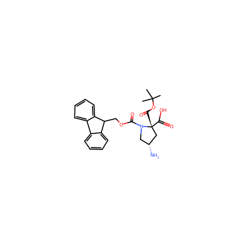 CC(C)(C)OC(=O)[C@@]1(C(=O)O)C[C@H](N)CN1C(=O)OCC1c2ccccc2-c2ccccc21